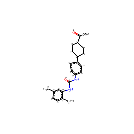 COC(=O)C1CCC(c2ccc(NC(=O)Nc3cc(C)ccc3OC)cc2)CC1